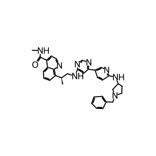 CNC(=O)c1ccnc2c([C@H](C)CNc3cc(-c4ccc(NC5CCN(Cc6ccccc6)C5)nc4)ncn3)cccc12